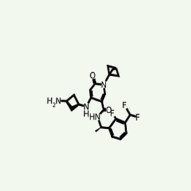 C[C@@H](NC(=O)c1cn(C23CC(C2)C3)c(=O)cc1NC12CC(N)(C1)C2)c1cccc(C(F)F)c1F